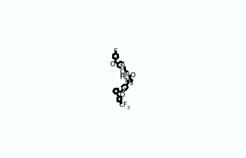 O=C(NCC(O)CN1CCC(C(=O)c2ccc(F)cc2)CC1)c1csc(C2CCN(C(=O)c3ccccc3-c3ccc(C(F)(F)F)cc3)CC2)n1